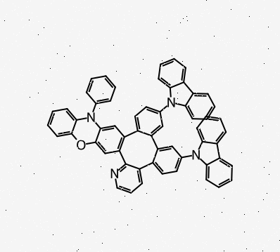 c1ccc(-n2c3ccccc3oc3cc4c(cc32)c2ccc(-n3c5ccccc5c5ccccc53)cc2c2cc(-n3c5ccccc5c5ccccc53)ccc2c2cccnc24)cc1